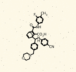 Cc1ccc(NC(=O)C2=C(C(=O)O)C3(C(Nc4ccc(C#N)cc4)c4ccc(CN5CCOCC5)cc4)C=CC2O3)cc1F